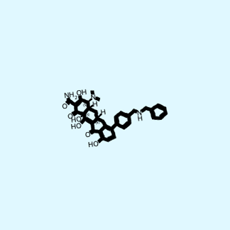 CN(C)[C@@H]1C(O)=C(C(N)=O)C(=O)[C@@]2(O)C(O)=C3C(=O)c4c(O)ccc(-c5ccc(CNCc6ccccc6)cc5)c4C[C@H]3C[C@@H]12